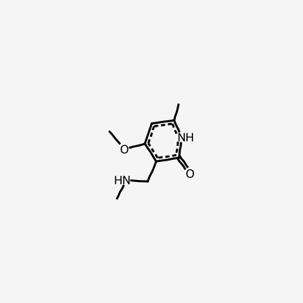 CNCc1c(OC)cc(C)[nH]c1=O